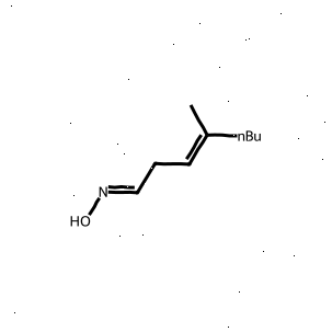 CCCCC(C)=CCC=NO